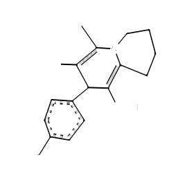 CC1=C(C(=O)O)C(c2ccc(Cl)cc2)C(C(=O)O)=C2CCCCN12